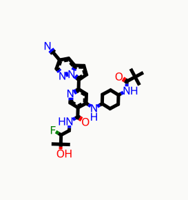 CC(C)(C)C(=O)NC1CCC(Nc2cc(-c3ccc4cc(C#N)cnn34)ncc2C(=O)NCC(F)C(C)(C)O)CC1